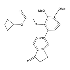 COc1ccc(-c2ccc3c(c2)CCC3=O)c(OCC(=O)OC2CCC2)c1OC